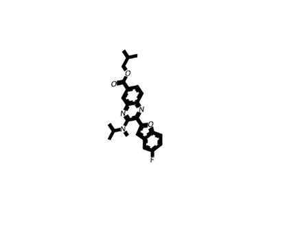 CC(C)COC(=O)c1ccc2nc(-c3cc4cc(F)ccc4o3)c(N(C)C(C)C)nc2c1